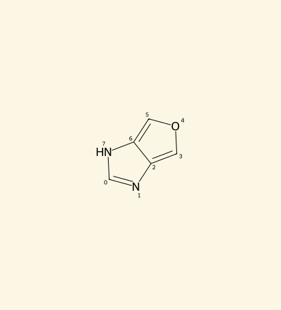 c1nc2cocc2[nH]1